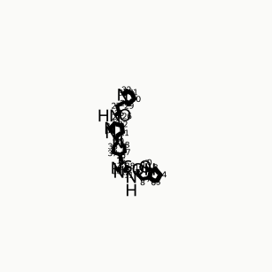 COc1ccccc1CC(O)Nc1nnc(C2CCN(c3ccc(NC(=O)Cc4ccccn4)nn3)CC2)s1